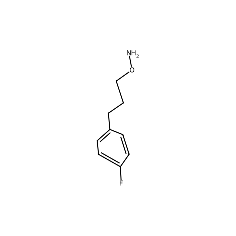 NOCCCc1ccc(F)cc1